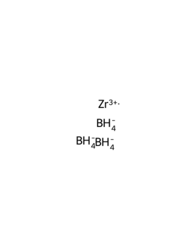 [BH4-].[BH4-].[BH4-].[Zr+3]